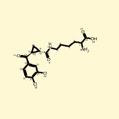 NC(CCCCNC(=O)[C@H]1C[C@@H]1C(=O)c1ccc(Cl)c(Cl)c1)C(=O)O